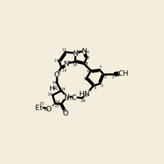 C#Cc1cc2cc(c1)-c1cnn3ccc(nc13)OC[C@@H]1C[C@@H](OCC)C(=O)N1CCN2